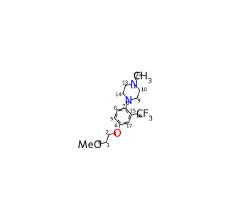 COCCOc1ccc(N2CCN(C)CC2)c(C(F)(F)F)c1